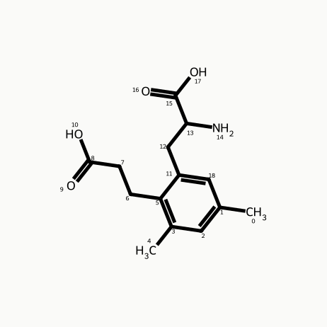 Cc1cc(C)c(CCC(=O)O)c(CC(N)C(=O)O)c1